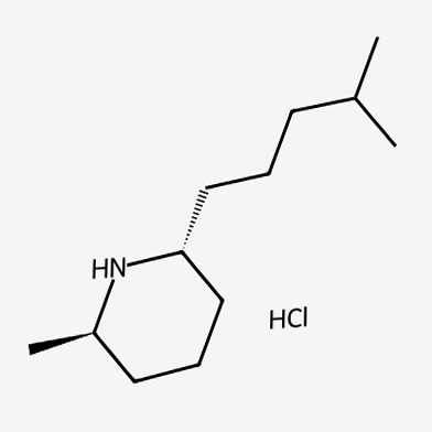 CC(C)CCC[C@@H]1CCC[C@@H](C)N1.Cl